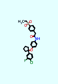 CCS(=O)(=O)c1ccc(CC(=O)Nc2ccc(OC3(c4ccc(Cl)c(F)c4)CCCC3)cc2)cc1